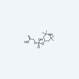 C=C(O)COP(=O)(O)OC1CC(C)(C)NC(C)(C)C1